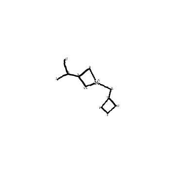 CC(C)C1CN(CC2CCC2)C1